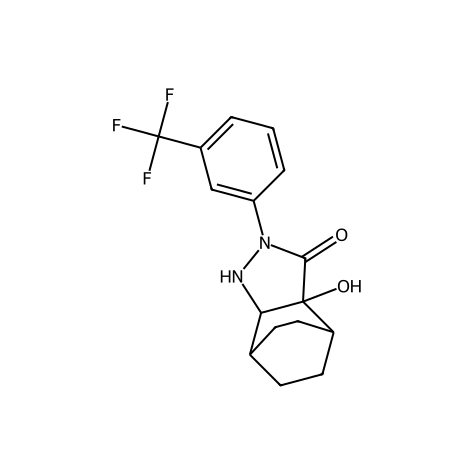 O=C1N(c2cccc(C(F)(F)F)c2)NC2C3CCC(CC3)C12O